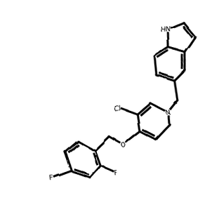 Fc1ccc(COC2=CCN(Cc3ccc4[nH]ccc4c3)C=C2Cl)c(F)c1